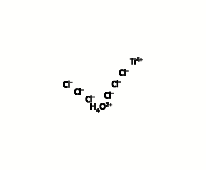 [Cl-].[Cl-].[Cl-].[Cl-].[Cl-].[Cl-].[OH4+2].[Ti+4]